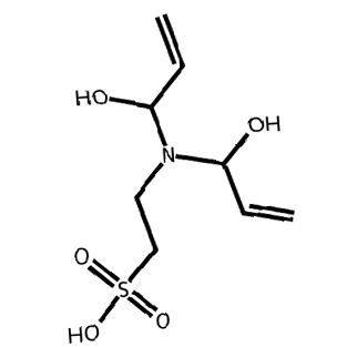 C=CC(O)N(CCS(=O)(=O)O)C(O)C=C